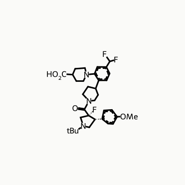 COc1ccc([C@@H]2CN(C(C)(C)C)C[C@@]2(F)C(=O)N2CCC(c3ccc(C(F)F)cc3N3CCC(C(=O)O)CC3)CC2)cc1